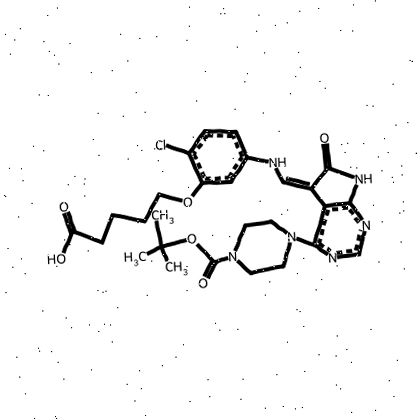 CC(C)(C)OC(=O)N1CCN(c2ncnc3c2/C(=C/Nc2ccc(Cl)c(OCCCCC(=O)O)c2)C(=O)N3)CC1